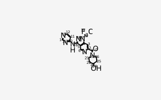 O=C(c1cc2c(cn1)c(Nc1ccncn1)nn2CC(F)(F)F)N1CCC(O)CC1